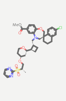 COC(=O)c1ccc2c(c1)N(C[C@@H]1CC[C@H]1[C@@H]1C[C@H](OC[C@H](C)S(=O)(=O)c3ncccn3)CCO1)C[C@@]1(CCCc3cc(Cl)ccc31)CO2